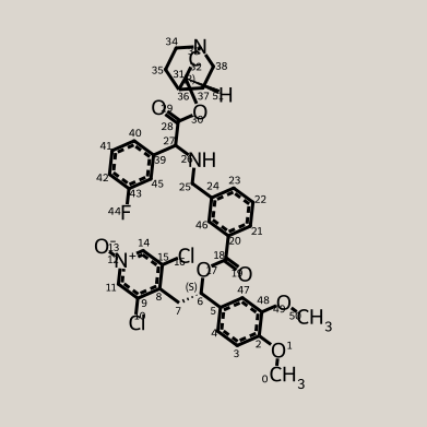 COc1ccc([C@H](Cc2c(Cl)c[n+]([O-])cc2Cl)OC(=O)c2cccc(CNC(C(=O)O[C@H]3CN4CCC3CC4)c3cccc(F)c3)c2)cc1OC